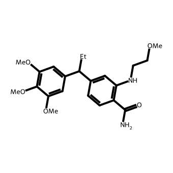 CCC(c1ccc(C(N)=O)c(NCCOC)c1)c1cc(OC)c(OC)c(OC)c1